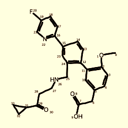 COc1ccc(CC(=O)O)cc1-c1ccc(-c2ccc(F)cn2)cc1CNCCC(=O)C1CC1